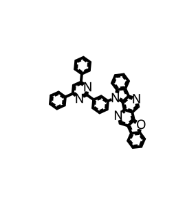 c1ccc(-c2cc(-c3ccccc3)nc(-c3cccc(-n4c5ccccc5c5ncc6c(ncc7c8ccccc8oc76)c54)c3)n2)cc1